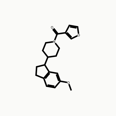 COc1ccc2c(c1)C(C1CCN(C(=O)c3ccoc3)CC1)CC2